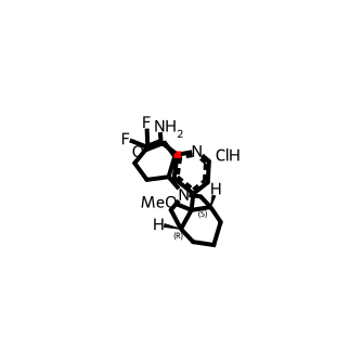 COC1(c2ccnc(C(N)=O)c2)[C@@H]2CCC[C@H]1CN(C1CCC(F)(F)CC1)C2.Cl